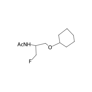 CC(=O)NC(CF)COC1CCCCC1